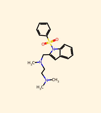 CN(C)CCN(C)Cc1cc2ccccc2n1S(=O)(=O)c1ccccc1